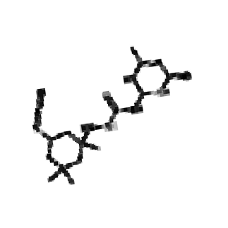 CC1=CC(=O)NC(NC(=O)NNC2(C)CC(N=C=O)CC(C)(C)C2)N1